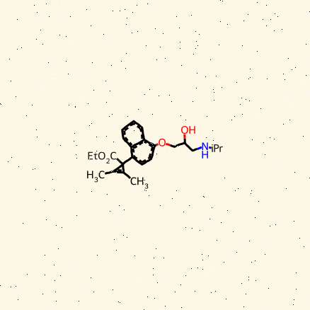 CCOC(=O)C1(c2ccc(OCC(O)CNC(C)C)c3ccccc23)C(C)=C1C